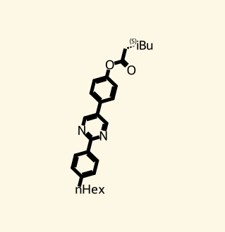 CCCCCCc1ccc(-c2ncc(-c3ccc(OC(=O)C[C@@H](C)CC)cc3)cn2)cc1